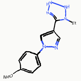 CCN1NNN=C1c1cnn(-c2ccc(OC)cc2)c1